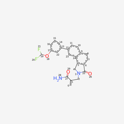 C=C(CN1Cc2c(ccc3ccc(-c4cccc(OC(F)F)c4)cc23)C1=O)C(N)=O